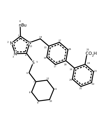 CCCCc1nnc(SCC2CCCCC2)n1Cc1ccc(-c2ccccc2C(=O)O)cc1